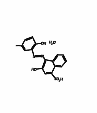 Cc1ccc(O)c(/N=N/c2c(O)cc(S(=O)(=O)O)c3ccccc23)c1.O